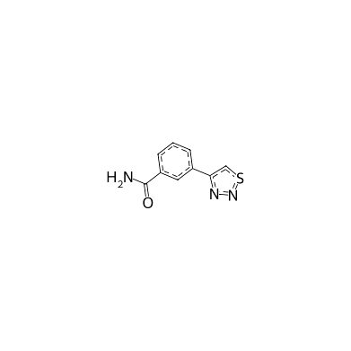 NC(=O)c1cccc(-c2csnn2)c1